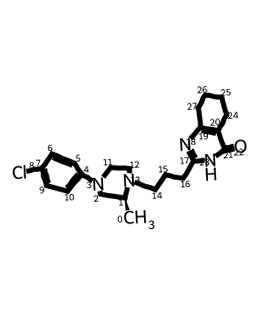 C[C@H]1CN(c2ccc(Cl)cc2)CCN1CCCc1nc2c(c(=O)[nH]1)CCCC2